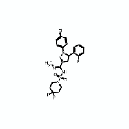 CN=C(NS(=O)(=O)N1CCC(F)(F)CC1)C1=NN(c2ccc(Cl)cc2)C(c2ccccc2F)C1